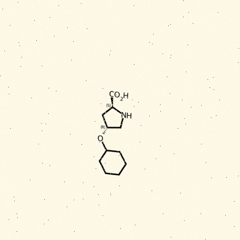 O=C(O)[C@@H]1C[C@@H](OC2CCCCC2)CN1